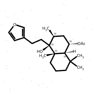 CC(=O)O[C@H]1C[C@H](C)[C@@](O)(CCc2ccoc2)[C@@]2(C)CCCC(C)(C)[C@H]12